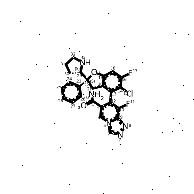 NC(=O)c1cn2cnnc2c(F)c1-c1c(Cl)c(F)cc2c1C[C@](c1ccccc1)([C@@H]1CCCN1)O2